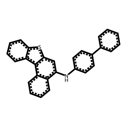 c1ccc(-c2ccc(Nc3cc4sc5ccccc5c4c4ccccc34)cc2)cc1